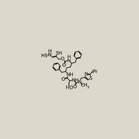 CC(C)c1nc(CN(C)C(=O)NC(CO)C(=O)NC(CCC(Cc2ccccc2)NC(=O)OC/C(S)=C/NS)Cc2ccccc2)cs1